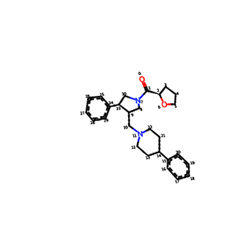 O=C([C@H]1CCCO1)N1CC(CN2CCC(c3ccccc3)CC2)C(c2ccccc2)C1